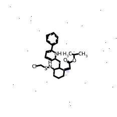 CC(C)OC(=O)/C=C1/CCCC(NSCCl)C1CC1C=CC=C(c2ccccc2)N1